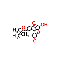 CCC(C)(C)C(=O)Cc1ccc(C(=O)O)c(-c2c3ccc(=O)cc-3oc3cc(O)ccc23)c1